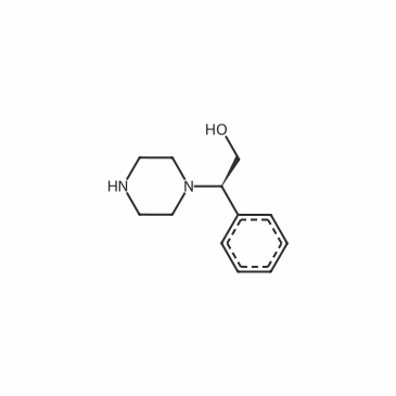 OC[C@@H](c1ccccc1)N1CCNCC1